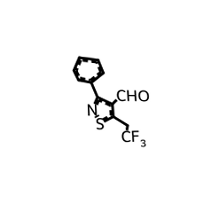 O=Cc1c(-c2ccccc2)nsc1CC(F)(F)F